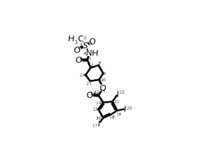 CS(=O)(=O)NC(=O)C1CCC(OC(=O)c2cc(I)cc(I)c2I)CC1